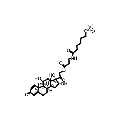 C[C@]12C=CC(=O)C=C1CC[C@H]1[C@@H]3C[C@@H](O)[C@](O)(C(=O)COC(=O)CCNC(=O)CCCCCO[N+](=O)[O-])[C@@]3(C)C[C@H](O)[C@@]12F